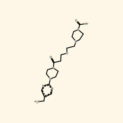 CCCC(=O)N1CCN(CCOCCC(=O)N2CCN(c3ncc(CN)cn3)CC2)CC1